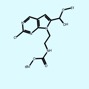 CCOC(O)c1cc2cnc(Cl)nc2n1CCNC(=O)OC(C)(C)C